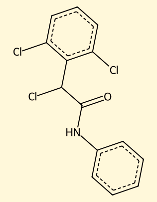 O=C(Nc1ccccc1)C(Cl)c1c(Cl)cccc1Cl